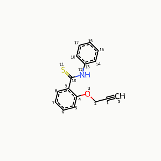 C#CCOc1ccccc1C(=S)Nc1ccccc1